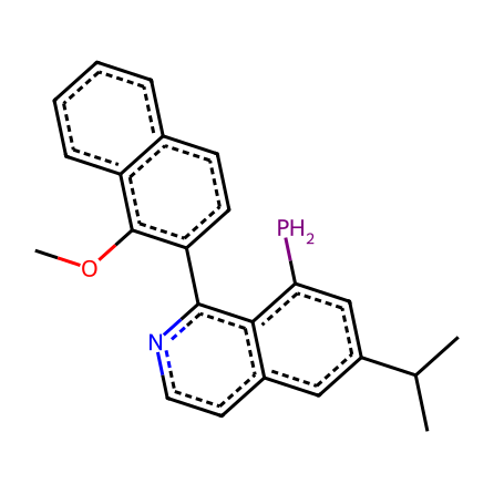 COc1c(-c2nccc3cc(C(C)C)cc(P)c23)ccc2ccccc12